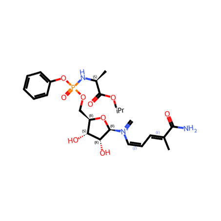 C=[N+](/C=C\C=C(/C)C(N)=O)[C@@H]1O[C@H](COP(=O)(N[C@@H](C)C(=O)OC(C)C)Oc2ccccc2)[C@@H](O)[C@H]1O